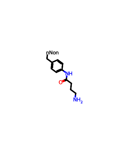 CCCCCCCCCCc1ccc(NC(=O)CCCN)cc1